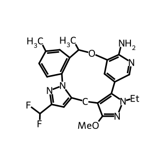 CCn1nc(OC)c2c1-c1cnc(N)c(c1)OC(C)c1cc(C)ccc1-n1nc(C(F)F)cc1C2